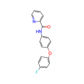 O=C(Nc1ccc(Oc2ccc(F)cc2)cc1)c1ccccn1